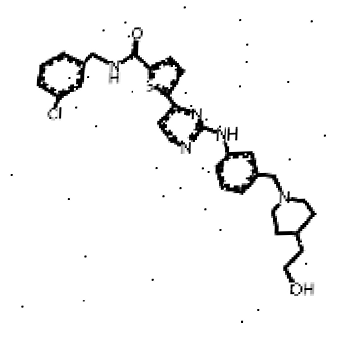 O=C(NCc1cccc(Cl)c1)c1ccc(-c2ccnc(Nc3cccc(CN4CCC(CCO)CC4)c3)n2)s1